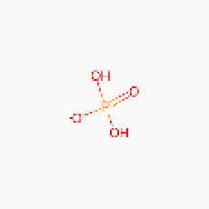 [O]P(=O)(O)O